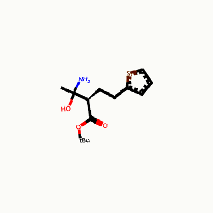 CC(C)(C)OC(=O)[C@H](CCc1cccs1)C(C)(N)O